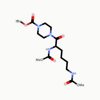 COC(=O)NCCCCC(NC(=O)OC)C(=O)N1CCN(C(=O)OC(C)(C)C)CC1